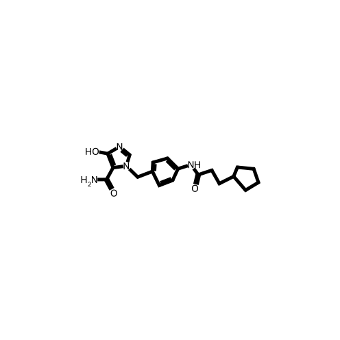 NC(=O)c1c(O)ncn1Cc1ccc(NC(=O)CCC2CCCC2)cc1